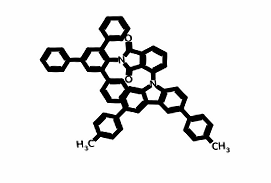 Cc1ccc(-c2ccc3c(c2)c2cc(-c4ccc(C)cc4)ccc2n3-c2cccc3c2C(=O)N(c2c(-c4ccccc4)cc(-c4ccccc4)cc2-c2ccccc2)C3=O)cc1